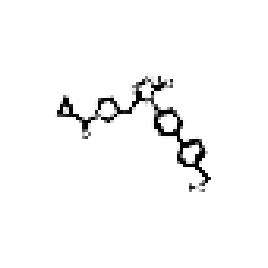 O=C(C1CC1)N1CC[C@@H](Cc2n[nH]c(=O)n2-c2ccc(-c3ccc(CO)cc3)cc2)C1